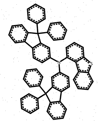 c1ccc(C2(c3ccccc3)c3ccccc3-c3ccc(N(c4ccc5c(c4)C(c4ccccc4)(c4ccccc4)c4ccccc4-5)c4cccc5sc6ccccc6c45)cc32)cc1